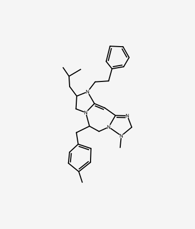 Cc1ccc(CC2CN3C(=NCN3C)C=C3N(CCc4ccccc4)C(CC(C)C)CN32)cc1